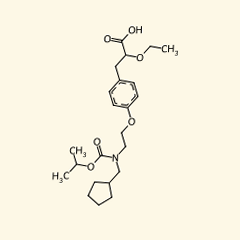 CCOC(Cc1ccc(OCCN(CC2CCCC2)C(=O)OC(C)C)cc1)C(=O)O